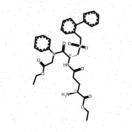 CCOC(=O)CN(C(=O)[C@H](CS(=O)(=O)Cc1ccccc1-c1ccccc1)NC(=O)CC[C@H](N)C(=O)OCC)c1ccccc1